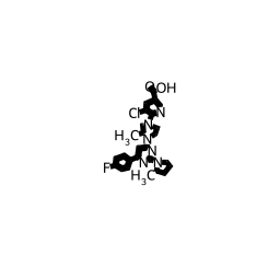 CC1CN(c2ncc(C(=O)O)cc2Cl)CCN1c1cc(-c2ccc(F)cc2)nc(N2CCCC2C)n1